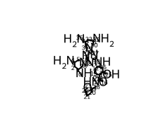 N[C@@H]1C[C@H](N)CN(c2nc(Nc3ccc(C(=O)NCc4ccco4)c(O)c3)nc(N3C[C@H](N)C[C@H](N)C3)n2)C1